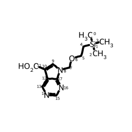 C[Si](C)(C)CCOCn1cc(C(=O)O)c2cncnc21